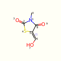 CN1C(=O)S/C(=C\O)C1=O